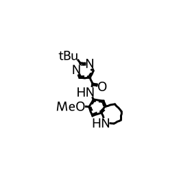 COc1cc2c(cc1NC(=O)c1cnc(C(C)(C)C)nc1)CCCCN2